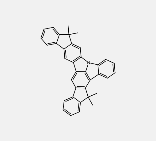 CC1(C)c2ccccc2-c2cc3c4cc5c(c6c7ccccc7n(c3cc21)c46)C(C)(C)c1ccccc1-5